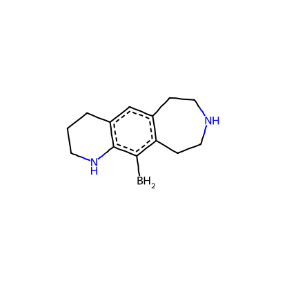 Bc1c2c(cc3c1NCCC3)CCNCC2